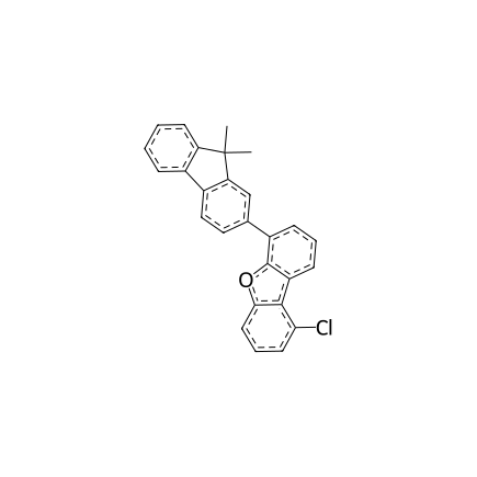 CC1(C)c2ccccc2-c2ccc(-c3cccc4c3oc3cccc(Cl)c34)cc21